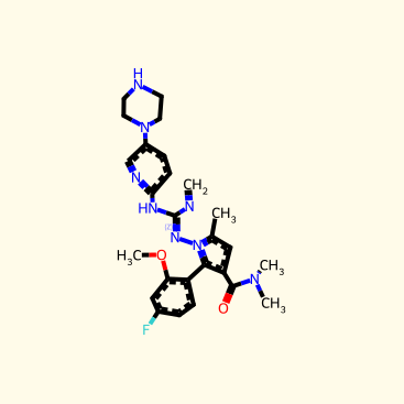 C=N/C(=N\n1c(C)cc(C(=O)N(C)C)c1-c1ccc(F)cc1OC)Nc1ccc(N2CCNCC2)cn1